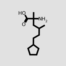 CC(CCC1CCCC1)CC(C)(N)C(=O)O